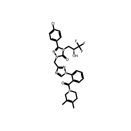 CC1=C(C)CN(C(=O)c2ccccc2-n2cnc(Cn3nc(-c4ccc(Cl)cc4)n(C[C@H](O)C(F)(F)F)c3=O)n2)CC1